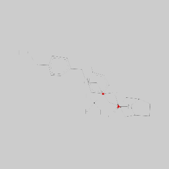 COc1ccc(COCC(OC(=O)N2C3CCC2CN(Cc2ccc(F)cc2)C3)C(F)(F)F)cc1